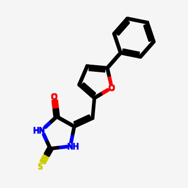 O=C1NC(=S)NC1=Cc1ccc(-c2ccccc2)o1